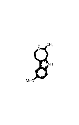 COc1ccc2[nH]c3c(c2c1)CCNC(C)C3